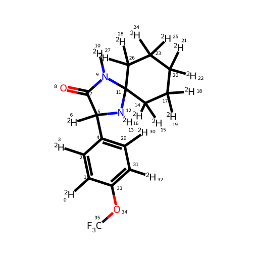 [2H]c1c([2H])c(C2([2H])C(=O)N([2H])C3(N2[2H])C([2H])([2H])C([2H])([2H])C([2H])([2H])C([2H])([2H])C3([2H])[2H])c([2H])c([2H])c1OC(F)(F)F